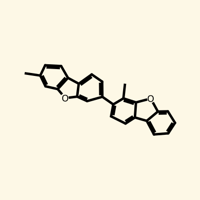 Cc1ccc2c(c1)oc1cc(-c3ccc4c(oc5ccccc54)c3C)ccc12